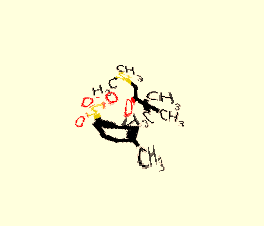 C[S+](C)CC(=O)C(C)(C)C.Cc1ccc(S(=O)(=O)[O-])cc1